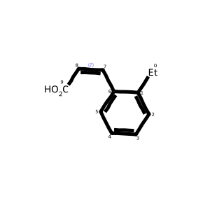 CCc1ccccc1/C=C\C(=O)O